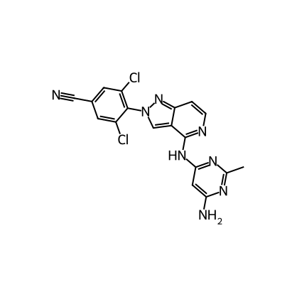 Cc1nc(N)cc(Nc2nccc3nn(-c4c(Cl)cc(C#N)cc4Cl)cc23)n1